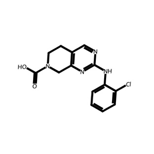 O=C(O)N1CCc2cnc(Nc3ccccc3Cl)nc2C1